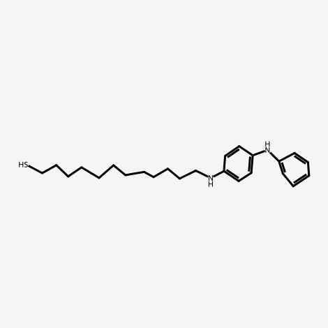 SCCCCCCCCCCCCNc1ccc(Nc2ccccc2)cc1